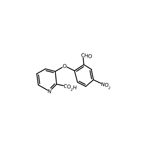 O=Cc1cc([N+](=O)[O-])ccc1Oc1cccnc1C(=O)O